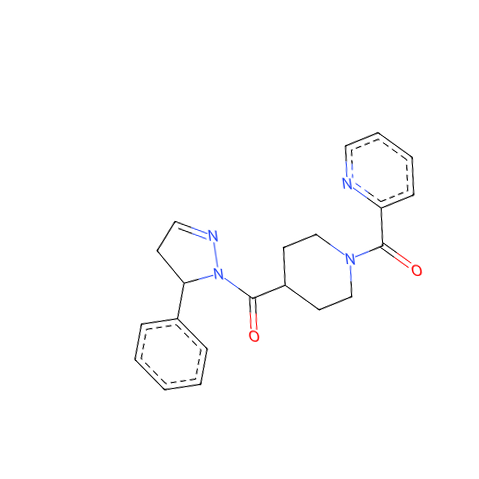 O=C(c1ccccn1)N1CCC(C(=O)N2N=CCC2c2ccccc2)CC1